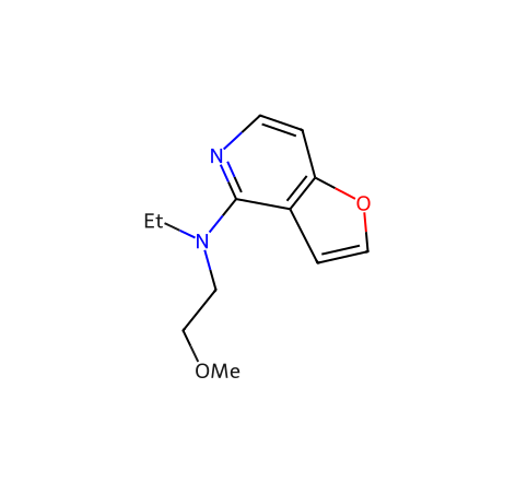 CCN(CCOC)c1nccc2occc12